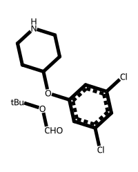 CC(C)(C)OC=O.Clc1cc(Cl)cc(OC2CCNCC2)c1